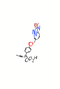 CC#C[C@@H](CC(=O)O)c1ccc(OCc2ccc3nc(Br)nn3c2)cc1